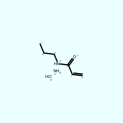 C=CC(=O)NCCC.Cl.N